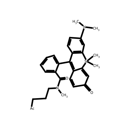 CC(=O)CCCN(C)C(=O)c1ccccc1C1=C2C=CC(=O)C=C2[Si](C)(C)c2cc(N(C)C)ccc21